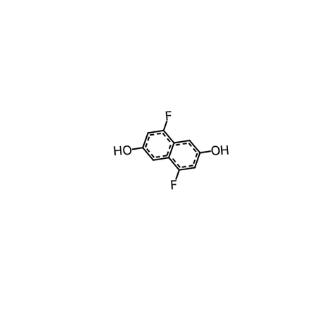 Oc1cc(F)c2cc(O)cc(F)c2c1